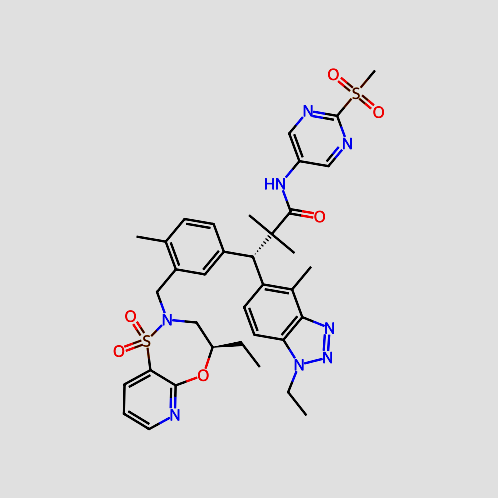 CC[C@@H]1CN(Cc2cc([C@@H](c3ccc4c(nnn4CC)c3C)C(C)(C)C(=O)Nc3cnc(S(C)(=O)=O)nc3)ccc2C)S(=O)(=O)c2cccnc2O1